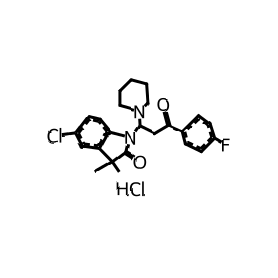 CC1(C)C(=O)N(C(CC(=O)c2ccc(F)cc2)N2CCCCC2)c2ccc(Cl)cc21.Cl